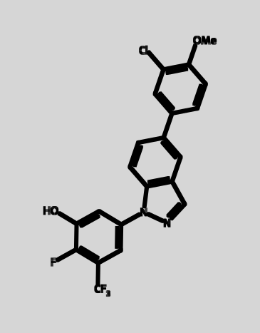 COc1ccc(-c2ccc3c(cnn3-c3cc(O)c(F)c(C(F)(F)F)c3)c2)cc1Cl